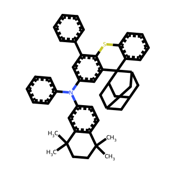 CC1(C)CCC(C)(C)c2cc(N(c3ccccc3)c3cc(-c4ccccc4)c4c(c3)C3(c5ccccc5S4)C4CC5CC(C4)CC3C5)ccc21